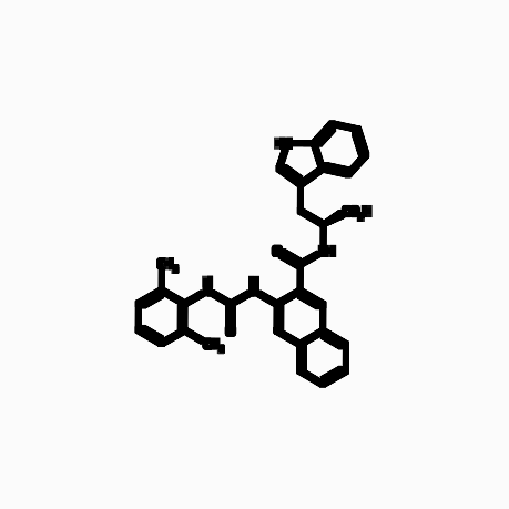 Cc1cccc(C)c1NC(=O)Nc1cc2ccccc2cc1C(=O)N[C@@H](Cc1c[nH]c2ccccc12)C(=O)O